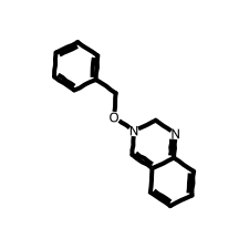 C1=c2ccccc2=NCN1OCc1ccccc1